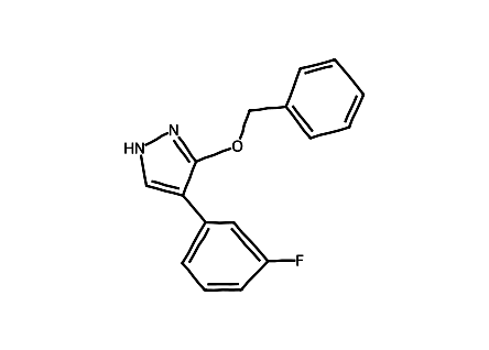 Fc1cccc(-c2c[nH]nc2OCc2ccccc2)c1